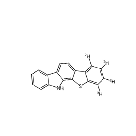 [2H]c1c([2H])c([2H])c2c(sc3c2ccc2c4ccccc4[nH]c23)c1[2H]